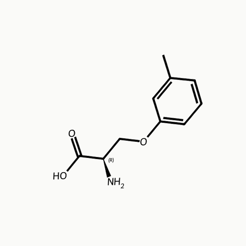 Cc1cccc(OC[C@@H](N)C(=O)O)c1